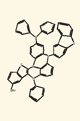 CC(C)(C)c1ccc2sc3c(c2c1)N(c1ccccc1)c1cccc2c1B3c1ccc(N(c3ccccc3)c3ccccc3)cc1N2c1ccc2sc3ccccc3c2c1